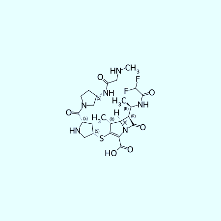 CNCC(=O)N[C@H]1CCN(C(=O)[C@@H]2C[C@H](SC3=C(C(=O)O)N4C(=O)[C@H]([C@@H](C)NC(=O)C(F)F)[C@@H]4[C@H]3C)CN2)C1